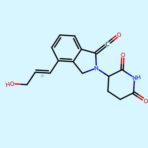 O=C=C1c2cccc(/C=C/CO)c2CN1C1CCC(=O)NC1=O